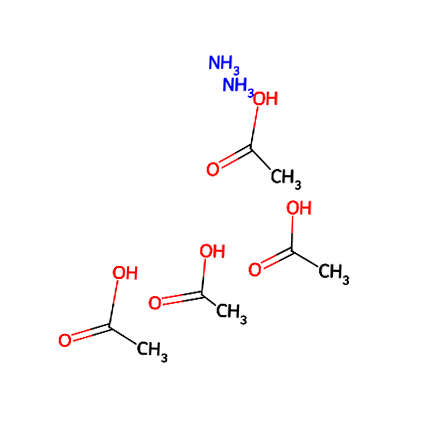 CC(=O)O.CC(=O)O.CC(=O)O.CC(=O)O.N.N